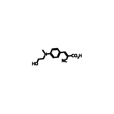 CN(CCO)c1ccc(/C=C(\C#N)C(=O)O)cc1